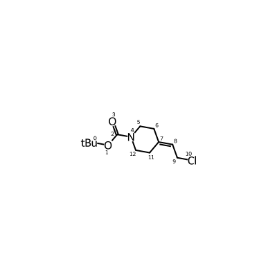 CC(C)(C)OC(=O)N1CCC(=CCCl)CC1